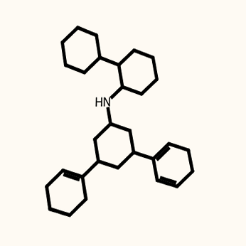 C1=CC(C2CC(NC3CCCCC3C3CCCCC3)CC(C3=CCCCC3)C2)=CCC1